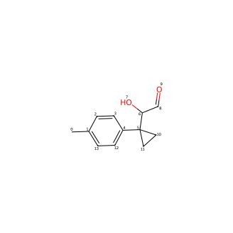 Cc1ccc(C2(C(O)C=O)CC2)cc1